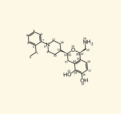 CCc1ccccc1N1CCC([C@@H]2Cc3c(ccc(O)c3O)[C@H](CN)O2)CC1